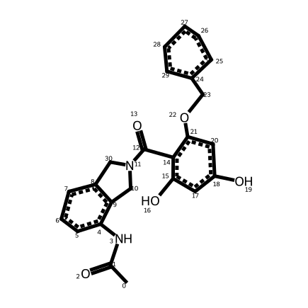 CC(=O)Nc1cccc2c1CN(C(=O)c1c(O)cc(O)cc1OCc1ccccc1)C2